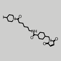 O=C(NCCCCCC(=O)N1CCC(I)CC1)C1CCC(CN2C(=O)C=CC2=O)CC1